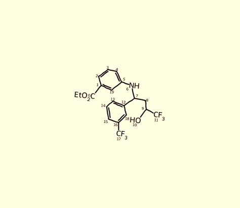 CCOC(=O)c1cccc(NC(CC(O)C(F)(F)F)c2cccc(C(F)(F)F)c2)c1